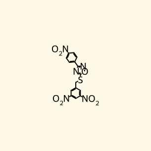 O=[N+]([O-])c1ccc(-c2noc(SCc3cc([N+](=O)[O-])cc([N+](=O)[O-])c3)n2)cc1